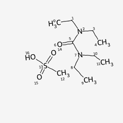 CCN(CC)C(=O)N(CC)CC.CS(=O)(=O)O